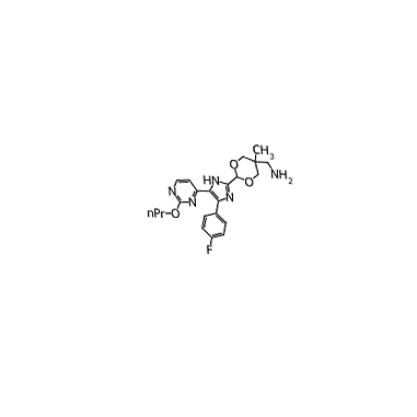 CCCOc1nccc(-c2[nH]c(C3OCC(C)(CN)CO3)nc2-c2ccc(F)cc2)n1